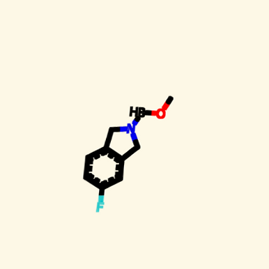 COBN1Cc2ccc(F)cc2C1